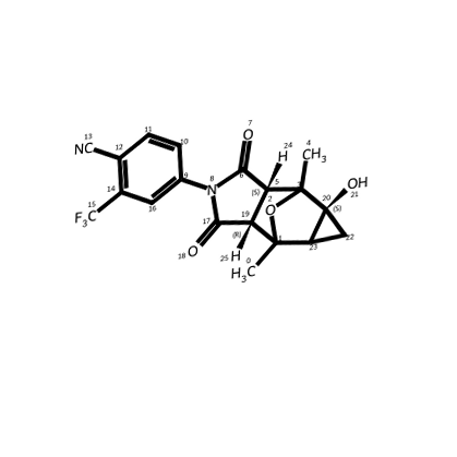 CC12OC(C)([C@H]3C(=O)N(c4ccc(C#N)c(C(F)(F)F)c4)C(=O)[C@H]31)[C@]1(O)CC21